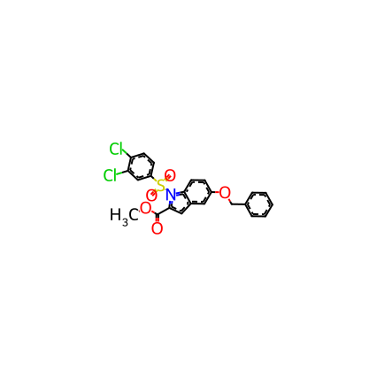 COC(=O)c1cc2cc(OCc3ccccc3)ccc2n1S(=O)(=O)c1ccc(Cl)c(Cl)c1